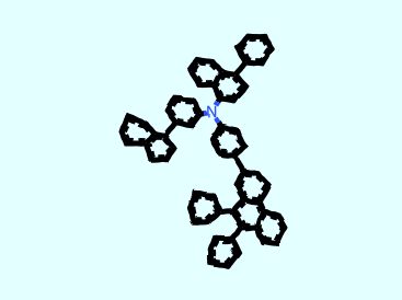 c1ccc(-c2ccc(N(c3ccc(-c4ccc5c(c4)c(-c4ccccc4)c(-c4ccccc4)c4ccccc45)cc3)c3cccc(-c4cccc5ccccc45)c3)c3ccccc23)cc1